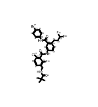 CC(C)(C)C(=O)NCc1ccc(Cl)c(C(=O)Nc2ccc(CCC(F)F)c(C(=O)Nc3ccc(Br)cc3)c2)c1F